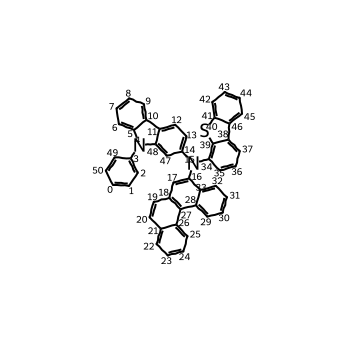 c1ccc(-n2c3ccccc3c3ccc(N(c4cc5ccc6ccccc6c5c5ccccc45)c4cccc5c4sc4ccccc45)cc32)cc1